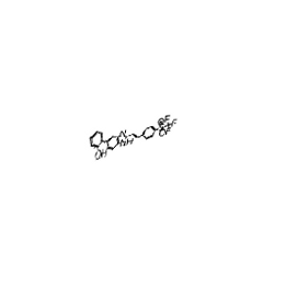 O=S(=O)(c1ccc(C=Cc2nc3cc(-c4ccccc4O)ccc3[nH]2)cc1)C(F)(F)F